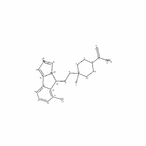 NC(=O)C1CCC(F)(CCC2c3c(Cl)cccc3-c3cncn32)CC1